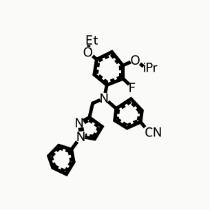 CCOc1cc(OC(C)C)c(F)c(N(Cc2ccn(-c3ccccc3)n2)c2ccc(C#N)cc2)c1